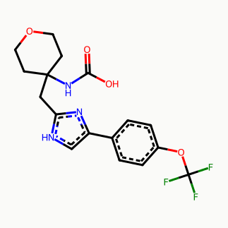 O=C(O)NC1(Cc2nc(-c3ccc(OC(F)(F)F)cc3)c[nH]2)CCOCC1